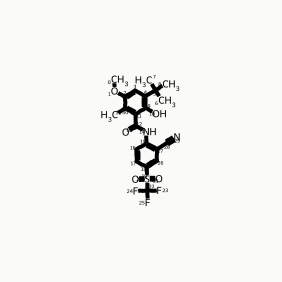 COc1cc(C(C)(C)C)c(O)c(C(=O)Nc2ccc(S(=O)(=O)C(F)(F)F)cc2C#N)c1C